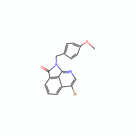 COc1ccc(CN2C(=O)c3cccc4c(Br)cnc2c34)cc1